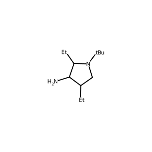 CCC1CN(C(C)(C)C)C(CC)C1N